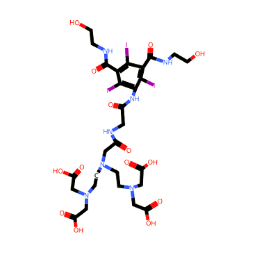 O=C(O)CN(CCN(CCN(CC(=O)O)CC(=O)O)CC(=O)NCC(=O)Nc1c(I)c(C(=O)NCCO)c(I)c(C(=O)NCCO)c1I)CC(=O)O